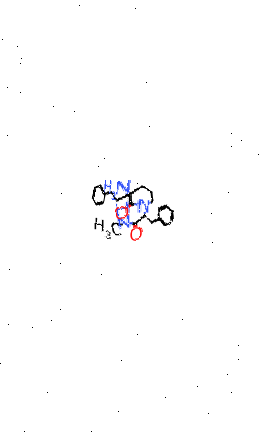 CNC(=O)[C@H](Cc1ccccc1)N1CCCC(N)(CCc2ccccc2)C1=O